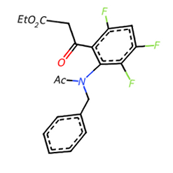 CCOC(=O)CC(=O)c1c(F)cc(F)c(F)c1N(Cc1ccccc1)C(C)=O